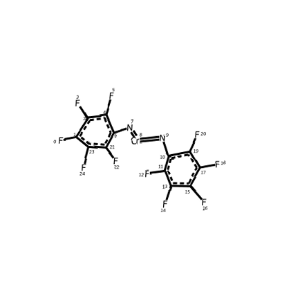 Fc1c(F)c(F)c([N]=[Cr]=[N]c2c(F)c(F)c(F)c(F)c2F)c(F)c1F